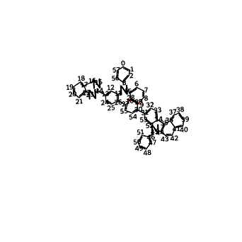 c1ccc(N(c2ccccc2)c2cc(-c3ncc4ccccc4n3)ccc2-c2ccc(-c3ccc4c5c6ccccc6ccc5n(-c5ccccc5)c4c3)cc2)cc1